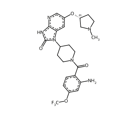 CN1CC[C@@H](Oc2cnc3[nH]c(=O)n(C4CCN(C(=O)c5ccc(OC(F)(F)F)cc5N)CC4)c3c2)C1